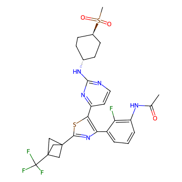 CC(=O)Nc1cccc(-c2nc(C34CC(C(F)(F)F)(C3)C4)sc2-c2ccnc(N[C@H]3CC[C@H](S(C)(=O)=O)CC3)n2)c1F